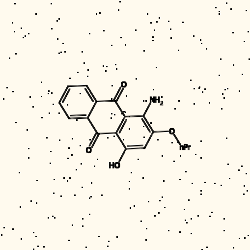 CCCOc1cc(O)c2c(c1N)C(=O)c1ccccc1C2=O